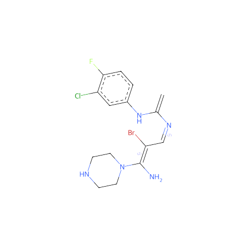 C=C(/N=C\C(Br)=C(/N)N1CCNCC1)Nc1ccc(F)c(Cl)c1